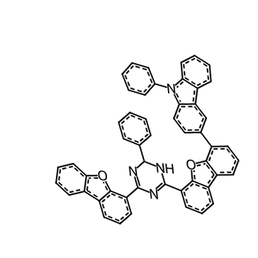 c1ccc(C2N=C(c3cccc4c3oc3ccccc34)N=C(c3cccc4c3oc3c(-c5ccc6c(c5)c5ccccc5n6-c5ccccc5)cccc34)N2)cc1